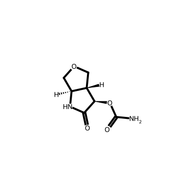 NC(=O)O[C@H]1C(=O)N[C@H]2COC[C@@H]21